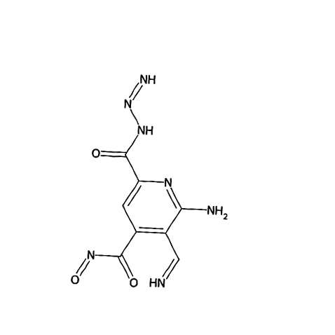 N=Cc1c(C(=O)N=O)cc(C(=O)NN=N)nc1N